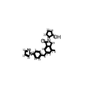 Cc1cc(Cc2ccc(-n3cccn3)cc2)cc2c1CN([C@@H]1CCC[C@H]1O)C2=O